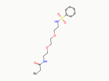 CCC(C)CC(=O)NCCOCCOCCNS(=O)(=O)c1ccccc1